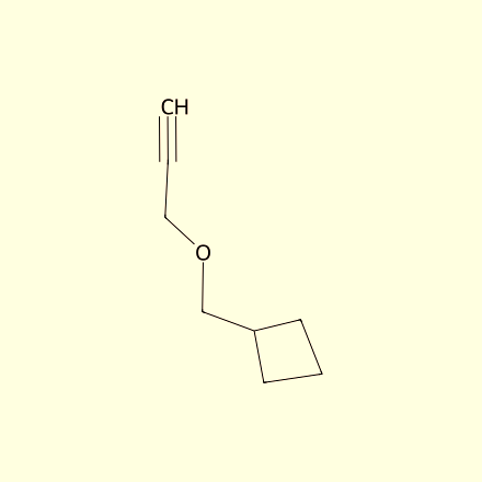 C#CCOCC1CCC1